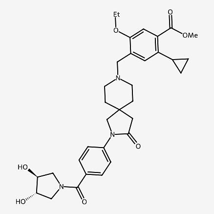 CCOc1cc(C(=O)OC)c(C2CC2)cc1CN1CCC2(CC1)CC(=O)N(c1ccc(C(=O)N3C[C@H](O)[C@@H](O)C3)cc1)C2